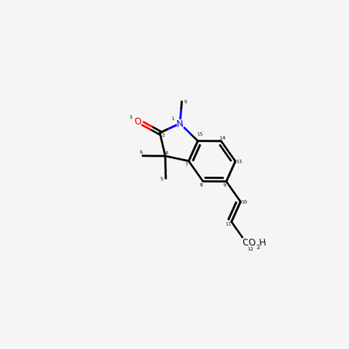 CN1C(=O)C(C)(C)c2cc(C=CC(=O)O)ccc21